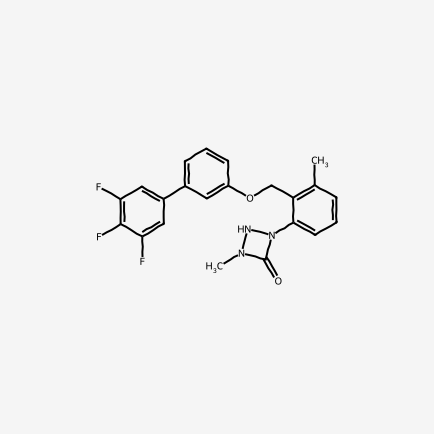 Cc1cccc(-n2[nH]n(C)c2=O)c1COc1cccc(-c2cc(F)c(F)c(F)c2)c1